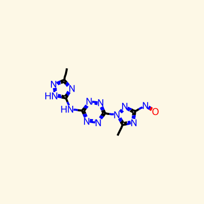 Cc1n[nH]c(Nc2nnc(-n3nc(N=O)nc3C)nn2)n1